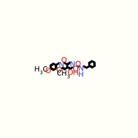 COc1ccc(Cn2ccc3c(O)c(OC(=O)NCCc4ccccc4)ncc3c2=O)c(OC)c1